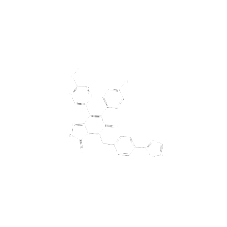 COc1ncc(-c2c(-c3ccc(Cl)cc3)c(=O)n(Cc3ccc(-c4ccno4)cc3)n3c(=O)[nH]nc23)cn1